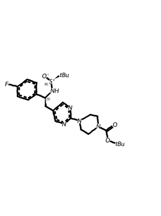 CC(C)(C)OC(=O)N1CCN(c2ncc(C[C@H](N[S@@+]([O-])C(C)(C)C)c3ccc(F)cc3)cn2)CC1